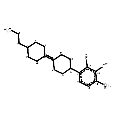 CCCC1CCC(=C2CCC(c3ccc(C)c(F)c3F)CC2)CC1